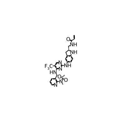 C=CC(=O)NC[C@@H]1Cc2cc(Nc3ncc(C(F)(F)F)c(NCc4cccnc4N(C)S(C)(=O)=O)n3)ccc2N1